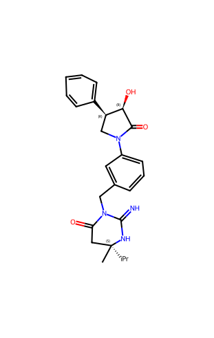 CC(C)[C@]1(C)CC(=O)N(Cc2cccc(N3C[C@@H](c4ccccc4)[C@@H](O)C3=O)c2)C(=N)N1